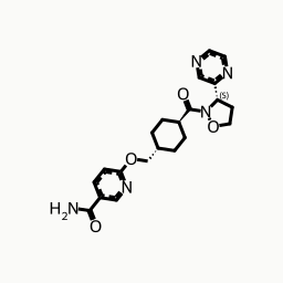 NC(=O)c1ccc(OC[C@H]2CC[C@H](C(=O)N3OCC[C@H]3c3cnccn3)CC2)nc1